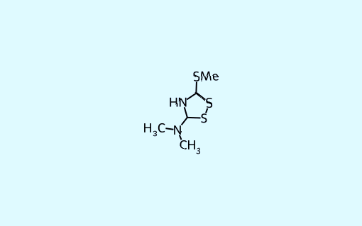 CSC1NC(N(C)C)SS1